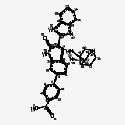 O=C(O)c1ccc(-c2ccc3c(N[C@H]4CN5CCC4CC5)c(-c4nc5ccccc5[nH]4)c(=O)[nH]c3c2)cc1